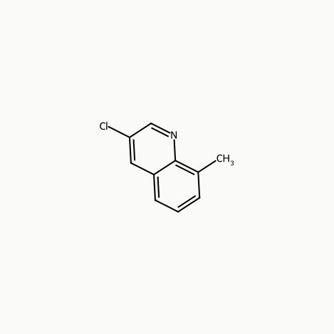 Cc1cccc2cc(Cl)cnc12